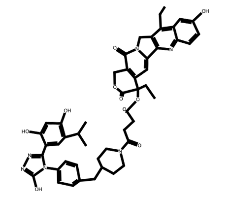 CCc1c2c(nc3ccc(O)cc13)-c1cc3c(c(=O)n1C2)COC(=O)C3(CC)OC(=O)CCC(=O)N1CCC(Cc2ccc(-n3c(O)nnc3-c3cc(C(C)C)c(O)cc3O)cc2)CC1